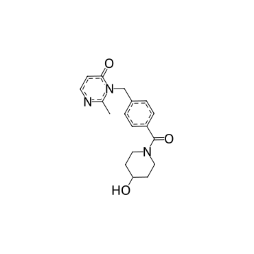 Cc1nccc(=O)n1Cc1ccc(C(=O)N2CCC(O)CC2)cc1